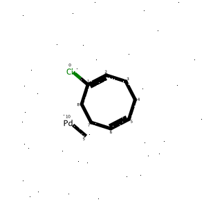 Cl/C1=C/CC/C=C\CC1.[CH3][Pd]